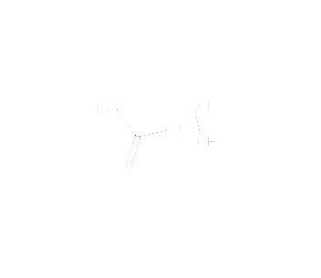 CO.O=C(O)Cl